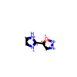 [c]1nnoc1-c1ncc[nH]1